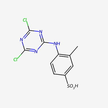 Cc1cc(S(=O)(=O)O)ccc1Nc1nc(Cl)nc(Cl)n1